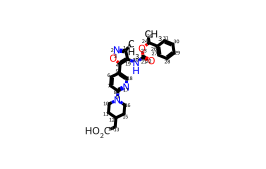 Cc1noc(-c2ccc(N3CCC(CC(=O)O)CC3)nc2)c1NC(=O)OC(C)c1ccccc1